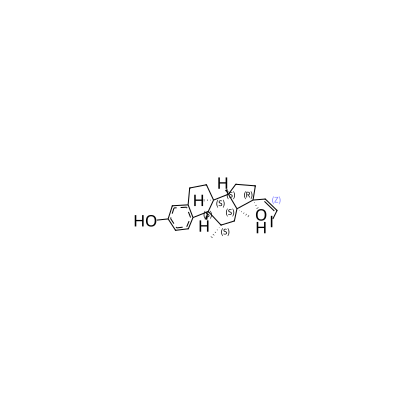 C[C@H]1C[C@@]2(C)[C@@H](CC[C@@]2(O)/C=C\I)[C@@H]2CCc3cc(O)ccc3[C@H]21